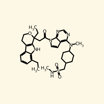 CCc1cccc2c3c([nH]c12)C(CC)(CC(=O)n1ccc2c(N(C)C4CCC(CS(=O)(=O)NC)CC4)ncnc21)OCC3